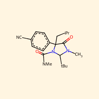 CNC(=O)N1C(C(C)(C)C)N(C)C(=O)C1(CC(C)C)c1ccc(C#N)cc1